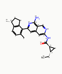 Cc1ccc2c(c1-c1cc3cc(NC(=O)[C@H]4C[C@@H]4CC#N)ncc3c(N)n1)CC[C@H]2C